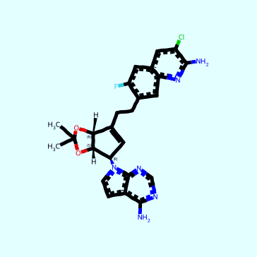 CC1(C)O[C@@H]2[C@H](O1)C(CCc1cc3nc(N)c(Cl)cc3cc1F)=C[C@H]2n1ccc2c(N)ncnc21